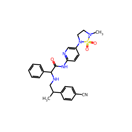 CC(CNC(C(=O)Nc1ccc(N2CCN(C)S2(=O)=O)cn1)c1ccccc1)c1ccc(C#N)cc1